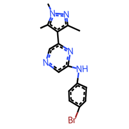 Cc1nn(C)c(C)c1-c1cncc(Nc2ccc(Br)cc2)n1